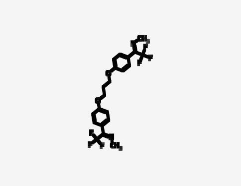 CN=C(c1ccc(OCCCOc2ccc(C(=NC)C(F)(F)F)cc2)cc1)C(F)(F)F